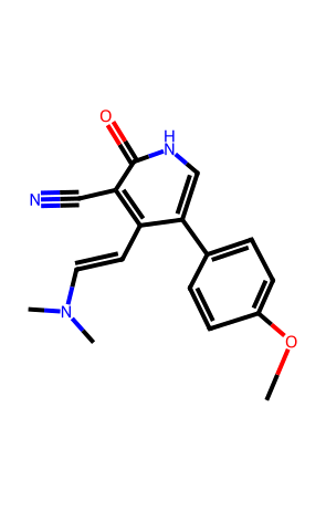 COc1ccc(-c2c[nH]c(=O)c(C#N)c2C=CN(C)C)cc1